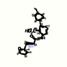 Cc1ccc(-c2scc(NC(=O)/C=C/c3ccco3)c2C(=O)O)cc1